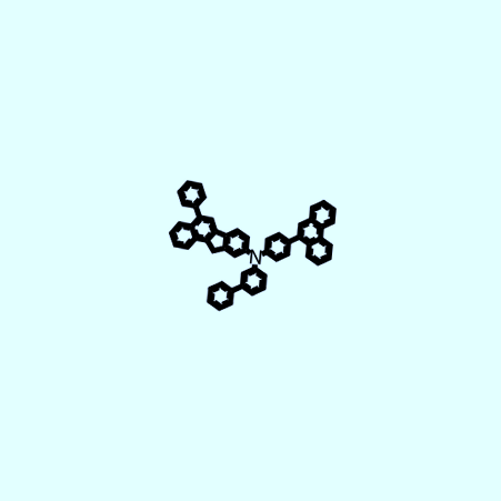 c1ccc(-c2cccc(N(c3ccc(-c4cc5ccccc5c5ccccc45)cc3)c3ccc4c(c3)Cc3c-4cc(-c4ccccc4)c4ccccc34)c2)cc1